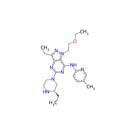 CCOCCn1nc(CC)c2nc(N3CCN[C@H](CC)C3)nc(Nc3ccc(C)cn3)c21